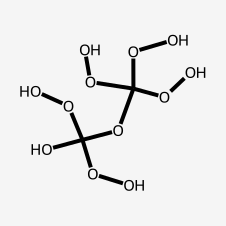 OOC(O)(OO)OC(OO)(OO)OO